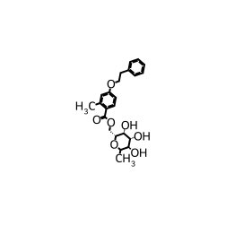 Cc1cc(OCCc2ccccc2)ccc1C(=O)OC[C@H]1OC(C)[C@H](O)[C@@H](O)[C@H]1O